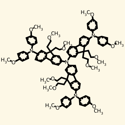 COCCC1(CCOC)c2cc(N(c3ccc(OC)cc3)c3ccc(OC)cc3)ccc2-c2ccc(N(c3ccc4c(c3)C(CCOC)(CCOC)c3cc(N(c5ccc(OC)cc5)c5ccc(OC)cc5)ccc3-4)c3ccc4c(c3)C(CCOC)(CCOC)c3cc(N(c5ccc(OC)cc5)c5ccc(OC)cc5)ccc3-4)cc21